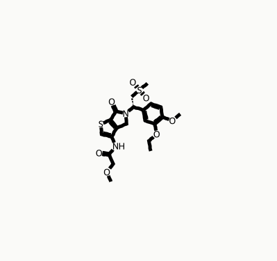 CCOc1cc([C@@H](CS(C)(=O)=O)N2Cc3c(NC(=O)COC)csc3C2=O)ccc1OC